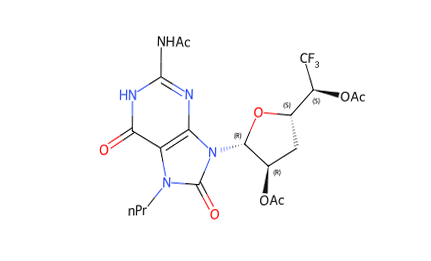 CCCn1c(=O)n([C@@H]2O[C@H]([C@H](OC(C)=O)C(F)(F)F)C[C@H]2OC(C)=O)c2nc(NC(C)=O)[nH]c(=O)c21